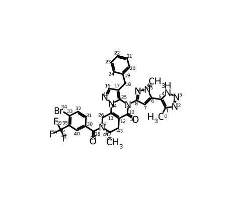 Cc1nn[nH]c1-c1cc(-n2c(=O)c3c(n4ncc(Cc5ccccc5)c24)CN(C(=O)c2ccc(Br)c(C(F)(F)F)c2)[C@@H](C)C3)nn1C